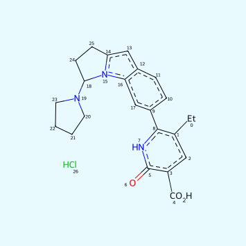 CCc1cc(C(=O)O)c(=O)[nH]c1-c1ccc2cc3n(c2c1)C(N1CCCC1)CC3.Cl